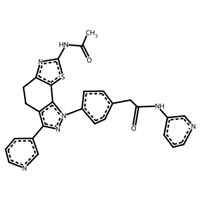 CC(=O)Nc1nc2c(s1)-c1c(c(-c3cccnc3)nn1-c1ccc(CC(=O)Nc3cccnc3)cc1)CC2